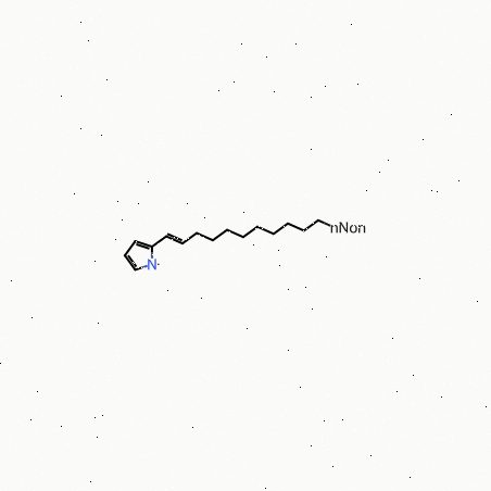 CCCCCCCCCCCCCCCCCCC=CC1=CC=C[N]1